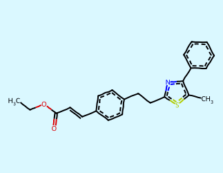 CCOC(=O)C=Cc1ccc(CCc2nc(-c3ccccc3)c(C)s2)cc1